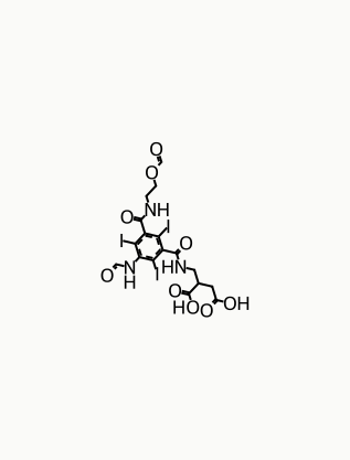 O=CNc1c(I)c(C(=O)NCCOC=O)c(I)c(C(=O)NCC(CC(=O)O)C(=O)O)c1I